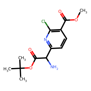 COC(=O)c1ccc(C(N)C(=O)OC(C)(C)C)nc1Cl